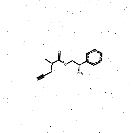 C#CCN(C)C(=O)OC[C@H](N)c1ccccc1